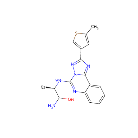 CC[C@@H](Nc1nc2ccccc2c2nc(-c3csc(C)c3)nn12)C(N)O